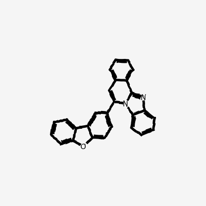 c1ccc2c(c1)cc(-c1ccc3oc4ccccc4c3c1)n1c3ccccc3nc21